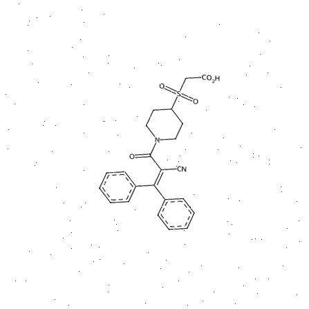 N#CC(C(=O)N1CCC(S(=O)(=O)CC(=O)O)CC1)=C(c1ccccc1)c1ccccc1